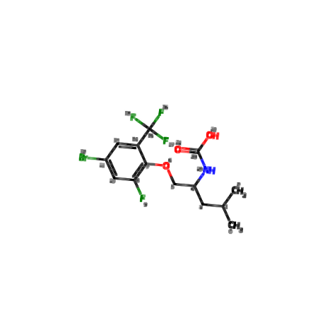 CC(C)CC(COc1c(F)cc(Br)cc1C(F)(F)F)NC(=O)O